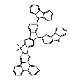 CC1(C)c2cc3c4ccccc4c4ccccc4c3cc2-c2cc3c(cc21)c1ccc(-n2c4ccccc4c4ccccc42)cc1n3-c1ccc2sc3ccccc3c2c1